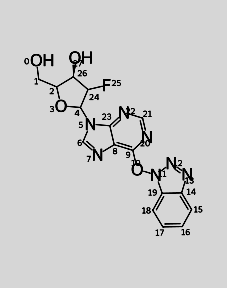 OCC1OC(n2cnc3c(On4nnc5ccccc54)ncnc32)C(F)[C@@H]1O